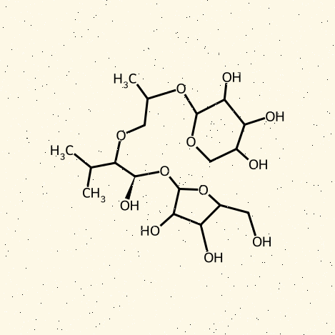 CC(COC(C(C)C)[C@H](O)OC1OC(CO)C(O)C1O)OC1OCC(O)C(O)C1O